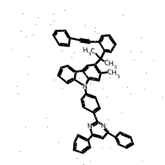 Cc1cc2c(cc1C(C)(C)c1ccccc1C#Cc1ccccc1)c1ccccc1n2-c1ccc(-c2nc(-c3ccccc3)cc(-c3ccccc3)n2)cc1